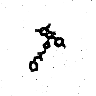 O=C(CN1CCOCC1)NC[C@H]1C[C@@H](c2c(-c3ccc(F)cc3)[nH]c3c(F)cc(F)cc32)C1